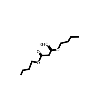 CCCCOC(=O)CC(=O)OCCCC.[KH]